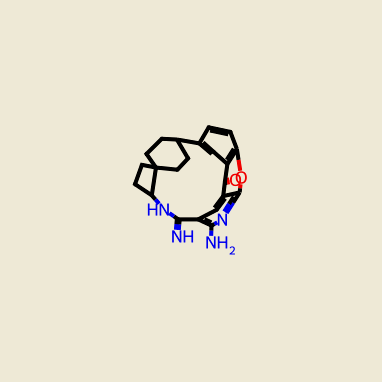 N=C1NC2CCC23CCC(CC3)c2ccc3oc4nc(N)c1cc4c(=O)c3c2